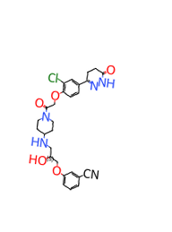 N#Cc1cccc(OC[C@@H](O)CNC2CCN(C(=O)COc3ccc(C4=NNC(=O)CC4)cc3Cl)CC2)c1